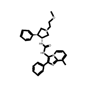 COCCN1C[C@H](NC(=O)Nc2c(-c3ccccc3)nc3c(C)cccn23)[C@@H](c2ccccc2)C1